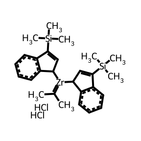 C[C](C)=[Zr]([CH]1C=C([Si](C)(C)C)c2ccccc21)[CH]1C=C([Si](C)(C)C)c2ccccc21.Cl.Cl